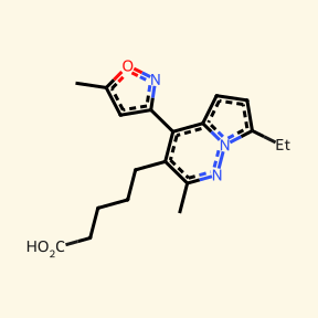 CCc1ccc2c(-c3cc(C)on3)c(CCCCC(=O)O)c(C)nn12